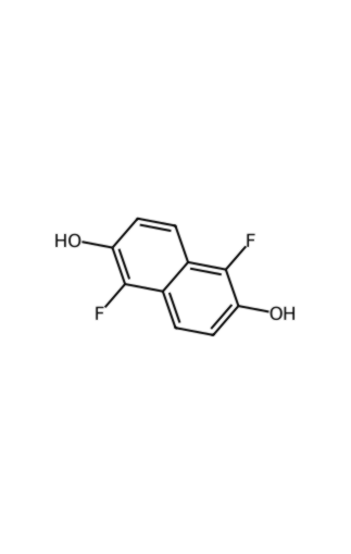 Oc1ccc2c(F)c(O)ccc2c1F